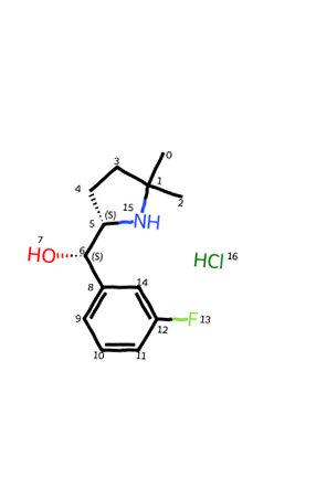 CC1(C)CC[C@@H]([C@@H](O)c2cccc(F)c2)N1.Cl